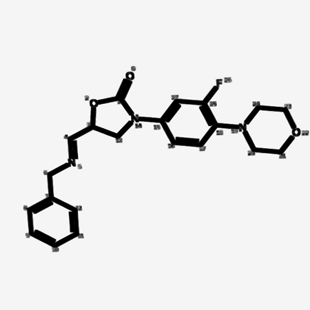 O=C1OC(/C=N/Cc2ccccc2)CN1c1ccc(N2CCOCC2)c(F)c1